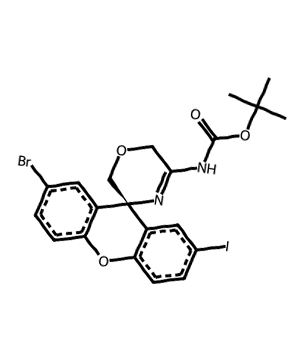 CC(C)(C)OC(=O)NC1=N[C@@]2(COC1)c1cc(Br)ccc1Oc1ccc(I)cc12